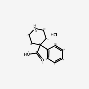 Cl.O=C(O)C1(c2ccccc2)CCNCC1